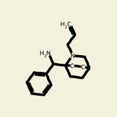 C=CCN1CC2CCC1(C(N)c1ccccc1)CC2